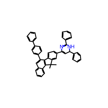 CC1(C)c2cc(C3=CC(c4ccccc4)NC(c4ccccc4)=N3)ccc2-c2c(-c3ccc(-c4ccccc4)cc3)cc3ccccc3c21